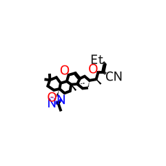 CC/C=C(/C#N)C(=O)[C@@H](C)[C@@H]1CC[C@]2(C)C(=CC(=O)C3C4CC(C)(C)CC[C@]4(c4nc(C)no4)CC[C@]32C)C1